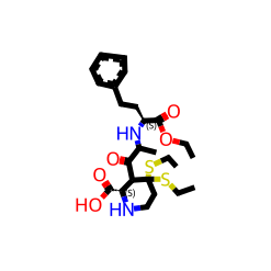 CCOC(=O)[C@H](CCc1ccccc1)NC(C)C(=O)C1[C@@H](C(=O)O)NCCC1(SCC)SCC